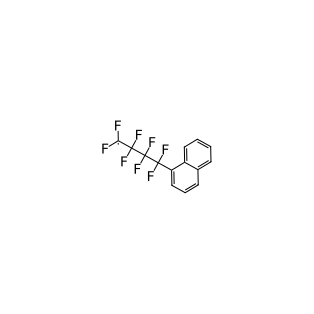 F[C](F)C(F)(F)C(F)(F)C(F)(F)c1cccc2ccccc12